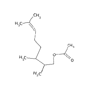 CC(=O)OCC(C)C(C)CCC=C(C)C